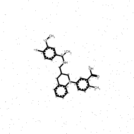 COc1cc([C@@H](C)NCC2Cc3ccccc3N(c3ccc(C)c(C(=O)O)c3)C2)ccc1F